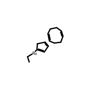 C1=CCCC=CCC1.C[CH2][Ru][C]1=CC=CC1